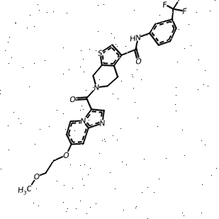 COCCOc1ccn2c(C(=O)N3CCc4c(C(=O)Nc5cccc(C(F)(F)F)c5)csc4C3)cnc2c1